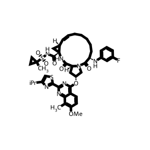 COc1ccc2c(O[C@@H]3C[C@H]4C(=O)N[C@]5(C(=O)NS(=O)(=O)C6(C)CC6)C[C@H]5/C=C\CCCCC[C@H](Nc5cccc(F)c5)C(=O)N4C3)nc(-c3nc(C(C)C)cs3)nc2c1C